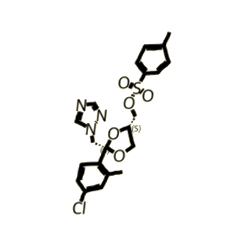 Cc1ccc(S(=O)(=O)OC[C@@H]2CO[C@@](Cn3cncn3)(c3ccc(Cl)cc3C)O2)cc1